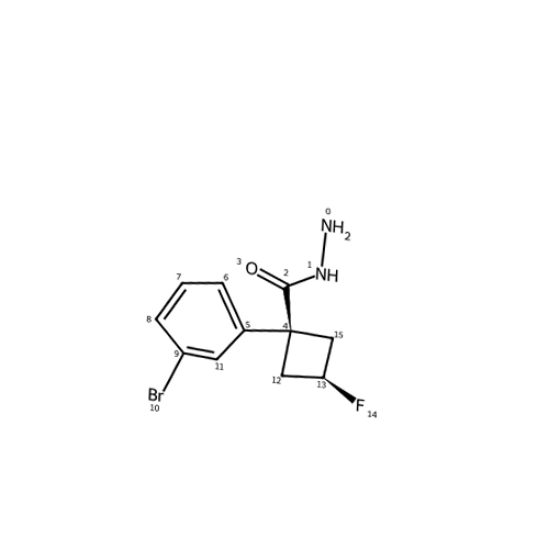 NNC(=O)[C@]1(c2cccc(Br)c2)C[C@H](F)C1